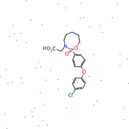 O=C(O)CN1CCCCCOP1(=O)c1ccc(Oc2ccc(Cl)cc2)cc1